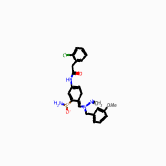 C=NN(/C=C1\CC=C(NC(=O)Cc2ccccc2Cl)C=C1[S+](N)[O-])Cc1cccc(OC)c1